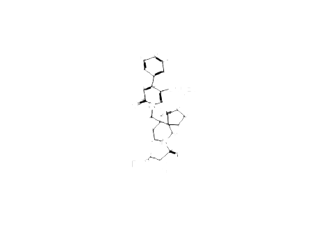 CCOC(=O)c1cn(C[C@]2(O)CCN(C(=O)[C@H](C)CC(F)(F)F)CC23CCCC3)c(=O)cc1-c1ccccc1